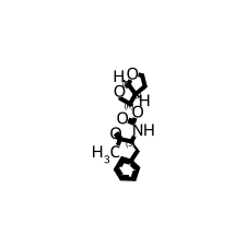 CC(=O)[C@H](Cc1ccccc1)NC(=O)O[C@H]1CO[C@H]2OCC[C@H]21